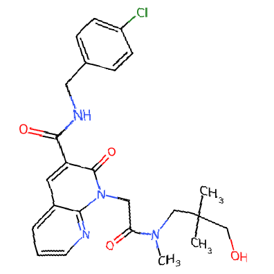 CN(CC(C)(C)CO)C(=O)Cn1c(=O)c(C(=O)NCc2ccc(Cl)cc2)cc2cccnc21